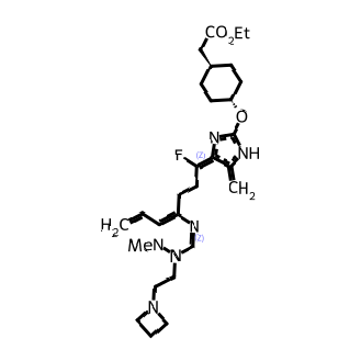 C=CC=C(CC/C(F)=c1/nc(O[C@H]2CC[C@H](CC(=O)OCC)CC2)[nH]c1=C)/N=C\N(CCN1CCC1)NC